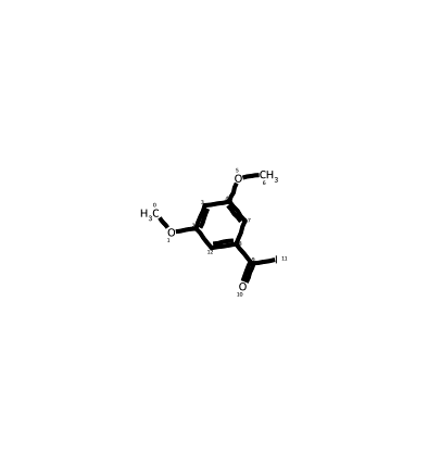 COc1cc(OC)cc(C(=O)I)c1